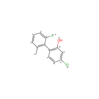 Cc1cccc(F)c1-c1ccc(Cl)cc1O